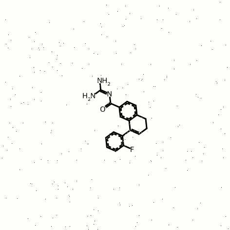 NC(N)=NC(=O)c1ccc2c(c1)C(c1ccccc1F)=CCC2